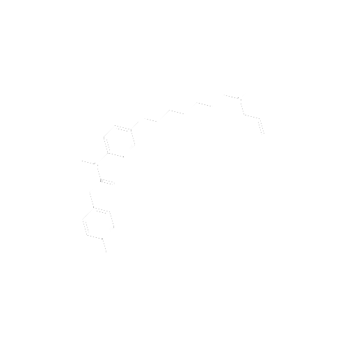 C=CCN(C)CCCCCCOc1ccc(N(C)C(=O)Cc2ccc(F)cc2)cc1